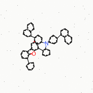 c1ccc(-c2cccc3c2oc2c(-c4ccccc4N(c4ccc(-c5cccc6ccccc56)cc4)c4ccc(-c5cccc6ccccc56)cc4)cccc23)cc1